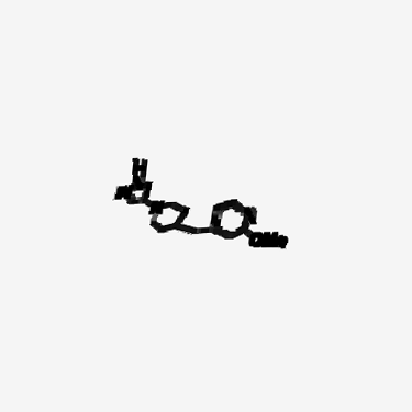 COc1cc(CC2CCN(c3cn[nH]c3)CC2)ccn1